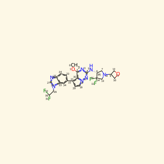 COc1nc(N[C@@H]2CN(C3COC3)CC2(F)F)nn2ccc(-c3ccc4ncn(CC(F)F)c4c3)c12